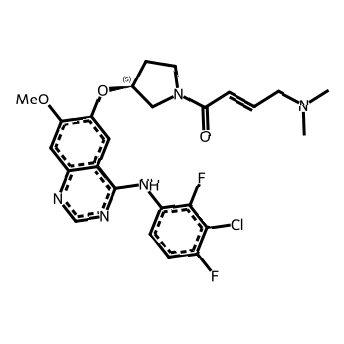 COc1cc2ncnc(Nc3ccc(F)c(Cl)c3F)c2cc1O[C@H]1CCN(C(=O)C=CCN(C)C)C1